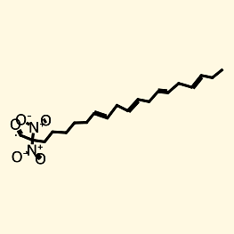 CCC=CCC=CCC=CCC=CCCCCCC([C]=O)([N+](=O)[O-])[N+](=O)[O-]